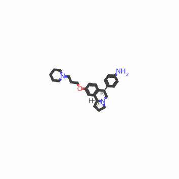 Nc1ccc([C@H]2CN3CCC[C@H]3c3cc(OCCCN4CCCCC4)ccc32)cc1